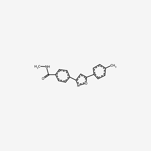 CNC(=O)c1ccc(-c2cc(-c3ccc(C)cc3)on2)cc1